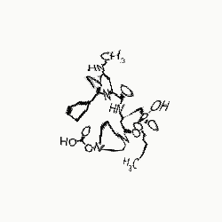 CCCCOP(=O)(O)C[C@H](NC(=O)c1cc(NCC)nc(-c2ccccc2)n1)C(=O)N1CCN(OC(=O)O)CC1